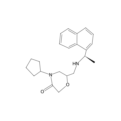 C[C@@H](NCC1CN(C2CCCC2)C(=O)CO1)c1cccc2ccccc12